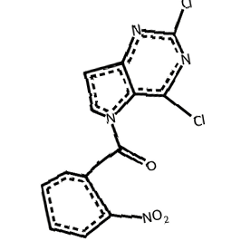 O=C(c1ccccc1[N+](=O)[O-])n1ccc2nc(Cl)nc(Cl)c21